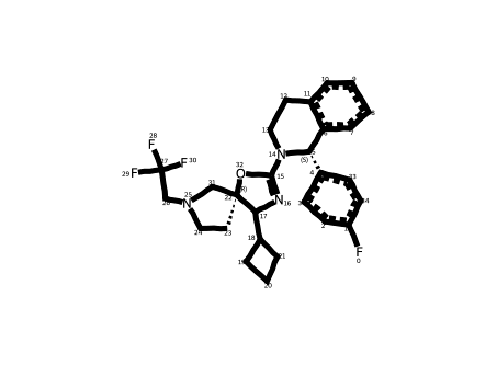 Fc1ccc([C@H]2c3ccccc3CCN2C2=NC(C3CCC3)[C@]3(CCN(CC(F)(F)F)C3)O2)cc1